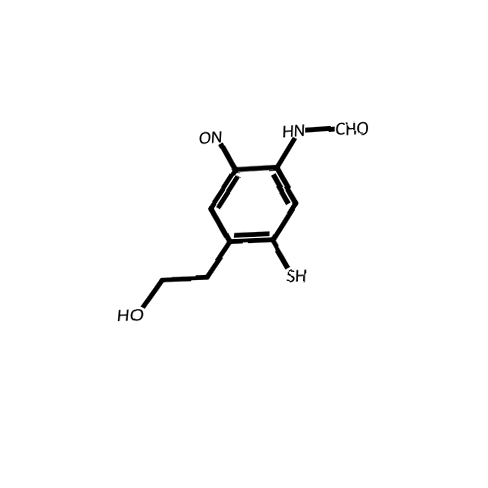 O=CNc1cc(S)c(CCO)cc1N=O